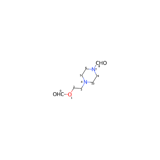 O=COCCN1CCN(C=O)CC1